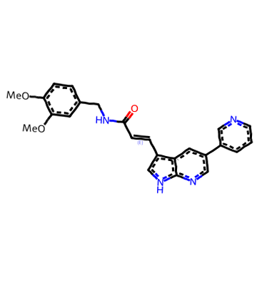 COc1ccc(CNC(=O)/C=C/c2c[nH]c3ncc(-c4cccnc4)cc23)cc1OC